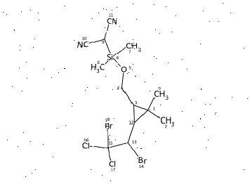 CC1(C)C(CO[Si](C)(C)C(C#N)C#N)C1C(Br)C(Cl)(Cl)Br